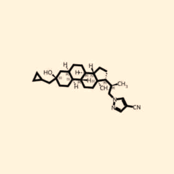 C[C@@H](Cn1cc(C#N)cn1)[C@H]1CC[C@H]2[C@@H]3CC[C@@H]4C[C@@](O)(CC5CC5)CC[C@@H]4[C@H]3CC[C@]12C